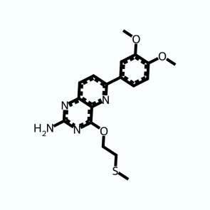 COc1ccc(-c2ccc3nc(N)nc(OCCSC)c3n2)cc1OC